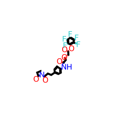 O=C(COCC(=O)Oc1c(F)c(F)c(F)c(F)c1F)Nc1ccc(CCC(=O)N2CCC2=O)cc1